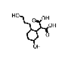 O=C(O)C(C(=O)O)C1CC(O)CCC1CCCO